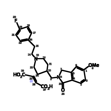 COc1ccc2c(c1)CN(CC1CCN(CCc3ccc(F)cc3)CC1)C2=O.O=C(O)/C=C/C(=O)O